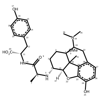 CO[C@@]12CC[C@@H](N[C@@H](C)C(=O)N[C@@H](Cc3ccc(O)cc3)C(=O)O)[C@@H]3Oc4c(O)ccc(c4C31C)CC2N(C)C